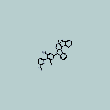 [2H]c1cccc(-c2c([2H])cc(-n3c4ccccc4c4c5c(ccc43)[nH]c3ccccc35)cc2[2H])c1